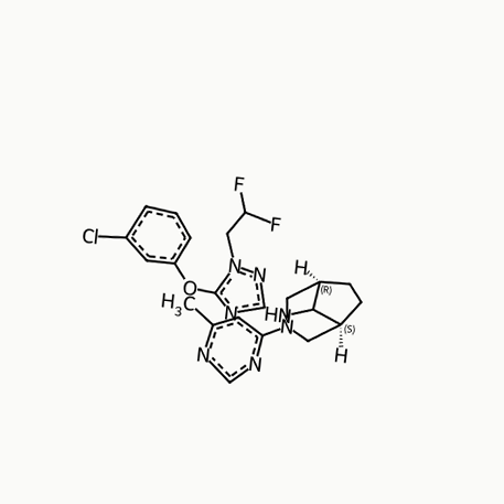 Cc1cc(N2C[C@H]3CC[C@@H](C2)C3Nc2nc(Oc3cccc(Cl)c3)n(CC(F)F)n2)ncn1